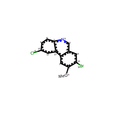 COc1cc2c(cnc3ccc(Cl)cc32)cc1Br